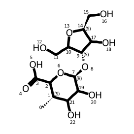 C[C@@H]1C(C(=O)O)O[C@@H](O[C@@H]2C(CO)O[C@@H](CO)C2O)C(O)C1O